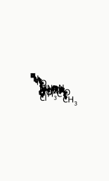 CCCC(=O)c1cnn(-c2ccc(NC(=O)c3cn(CC(=O)N4CCN(C5CCC5)CC4)c4ccc(Cl)cc34)nn2)c1C